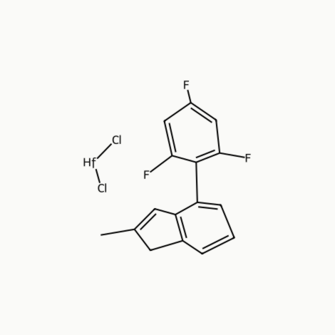 CC1=Cc2c(cccc2-c2c(F)cc(F)cc2F)C1.[Cl][Hf][Cl]